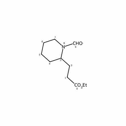 CCOC(=O)CCC1CCCCN1[C]=O